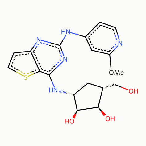 COc1cc(Nc2nc(N[C@@H]3C[C@H](CO)[C@@H](O)[C@H]3O)c3sccc3n2)ccn1